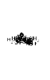 CCOc1nc(N)nc2c1ncn2[C@@H]1O[C@H](CO[P@@](=S)(N[C@H](C)C(=O)OC(C)C)Oc2ccccc2)[C@@H](O)[C@]1(F)Cl